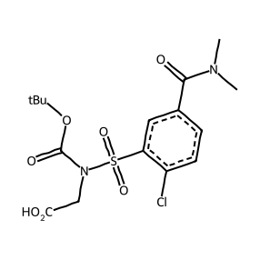 CN(C)C(=O)c1ccc(Cl)c(S(=O)(=O)N(CC(=O)O)C(=O)OC(C)(C)C)c1